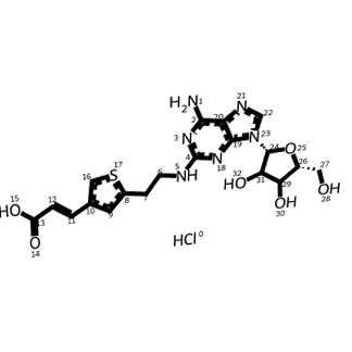 Cl.Nc1nc(NCCc2cc(C=CC(=O)O)cs2)nc2c1ncn2[C@@H]1O[C@H](CO)C(O)C1O